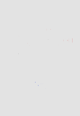 CS(=O)(=O)O.Nc1ccc(CC(=O)OO)cc1